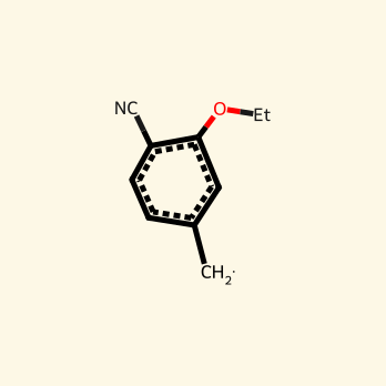 [CH2]c1ccc(C#N)c(OCC)c1